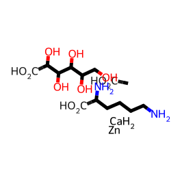 CC(=O)O.NCCCCC(N)C(=O)O.O=C(O)C(O)C(O)C(O)C(O)CO.[CaH2].[Zn]